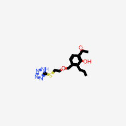 CCCc1c(COCCSc2nnn[nH]2)ccc(C(C)=O)c1O